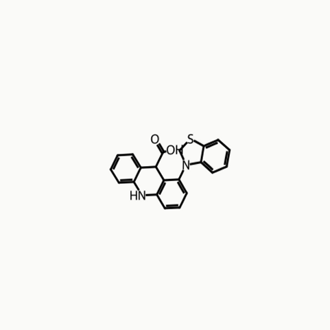 O=C(O)C1c2ccccc2Nc2cccc(N3CSc4ccccc43)c21